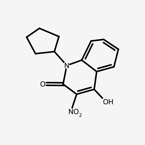 O=c1c([N+](=O)[O-])c(O)c2ccccc2n1C1CCCC1